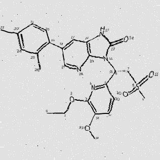 CCOc1nc([C@@H](CS(C)(=O)=O)n2c(=O)[nH]c3cc(-c4ccc(C)cc4C)cnc32)ccc1OC